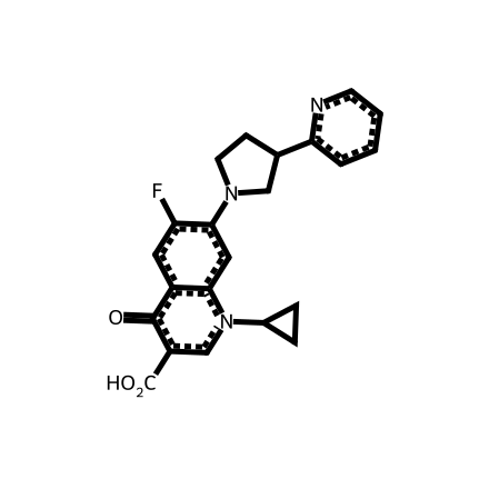 O=C(O)c1cn(C2CC2)c2cc(N3CCC(c4ccccn4)C3)c(F)cc2c1=O